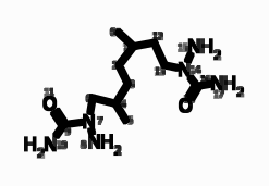 CC(CCC(C)CN(N)C(N)=O)CCN(N)C(N)=O